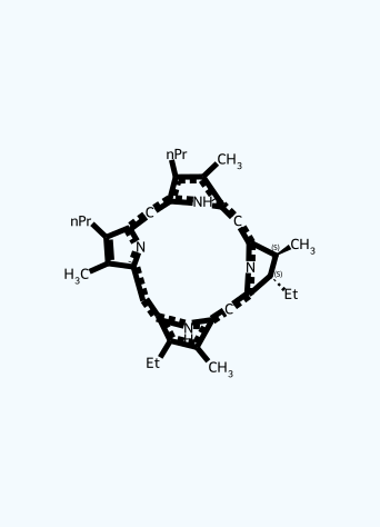 CCCC1=C(C)c2cc3[nH]c(cc4nc(cc5[nH]c(cc1n2)c(CCC)c5C)[C@@H](C)[C@@H]4CC)c(C)c3CC